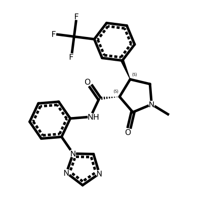 CN1C[C@H](c2cccc(C(F)(F)F)c2)[C@@H](C(=O)Nc2ccccc2-n2cncn2)C1=O